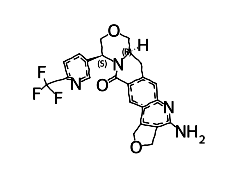 Nc1nc2cc3c(cc2c2c1COC2)C(=O)N1[C@@H](COC[C@@H]1c1ccc(C(F)(F)F)nc1)C3